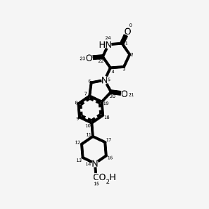 O=C1CCC(N2Cc3ccc(C4CCN(C(=O)O)CC4)cc3C2=O)C(=O)N1